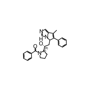 CC1=C(c2ccccc2)C(C[C@@H](O)[C@H]2CCCN2C(=O)c2ccccc2)n2cncc21